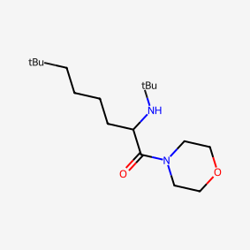 CC(C)(C)CCCCC(NC(C)(C)C)C(=O)N1CCOCC1